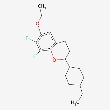 CCOc1cc2c(c(F)c1F)OC(C1CCC(CC)CC1)CC2